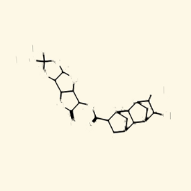 CC1C(C)C2CC1C1C3CC(C(=O)OC4C(=O)OC5C6OC(C)(C)OC6OC45)C(C3)C21